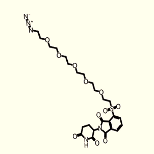 [N-]=[N+]=NCCOCCOCCOCCOCCOCCS(=O)(=O)c1cccc2c1C(=O)N(C1CCC(=O)NC1=O)C2=O